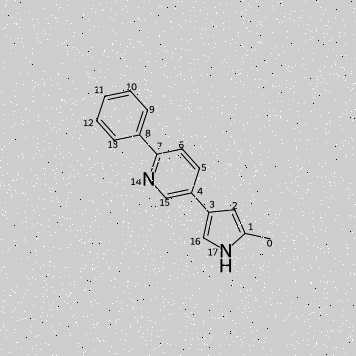 Cc1cc(-c2ccc(-c3ccccc3)nc2)c[nH]1